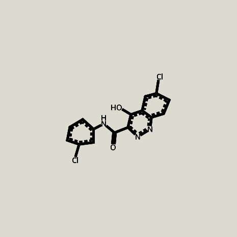 O=C(Nc1cccc(Cl)c1)c1nnc2ccc(Cl)cc2c1O